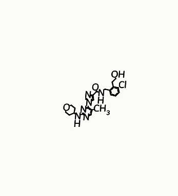 Cc1cnc(NC2CCOCC2)nc1-n1cnc(C(=O)NCc2cccc(Cl)c2CCO)c1